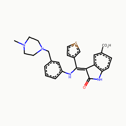 CN1CCN(Cc2cccc(N/C(=C3\C(=O)Nc4ccc(C(=O)O)cc43)c3ccsc3)c2)CC1